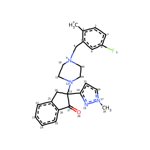 Cc1ccc(F)cc1CN1CCN(C2(c3ccn(C)n3)Cc3ccccc3C2=O)CC1